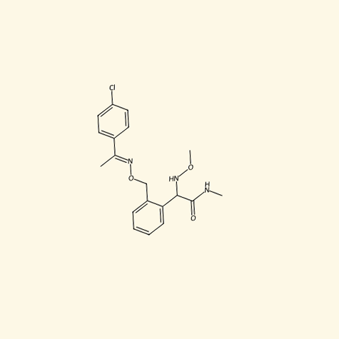 CNC(=O)C(NOC)c1ccccc1CO/N=C(\C)c1ccc(Cl)cc1